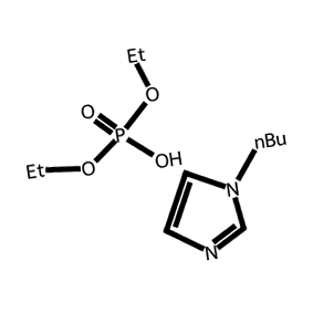 CCCCn1ccnc1.CCOP(=O)(O)OCC